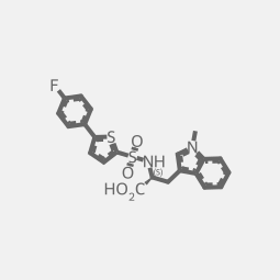 Cn1cc(C[C@H](NS(=O)(=O)c2ccc(-c3ccc(F)cc3)s2)C(=O)O)c2ccccc21